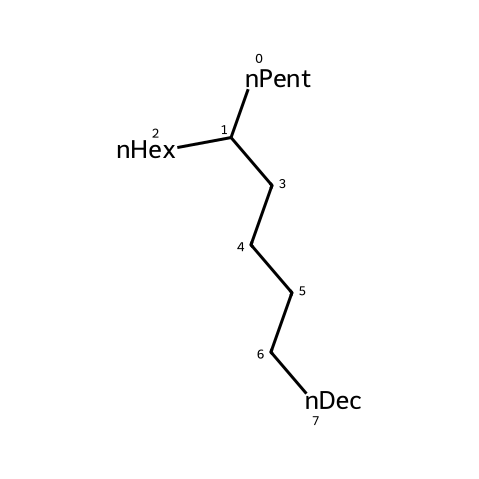 [CH2]CCCCC(CCCCCC)CCCCCCCCCCCCCC